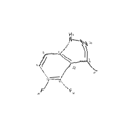 Cc1n[nH]c2ccc(F)c(F)c12